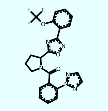 O=C(c1ccccc1-n1nccn1)N1CCCC1c1nc(-c2ccccc2OC(F)(F)F)no1